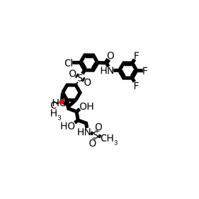 C[C@H]1CC2C[C@@H](S(=O)(=O)c3cc(C(=O)Nc4cc(F)c(F)c(F)c4)ccc3Cl)CC1[C@@]2(O)CC(O)C(O)CNS(C)(=O)=O